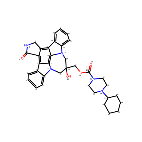 O=C1NCc2c1c1c3ccccc3n3c1c1c2c2ccccc2n1CC(O)(COC(=O)N1CCN(C2CCCCC2)CC1)C3